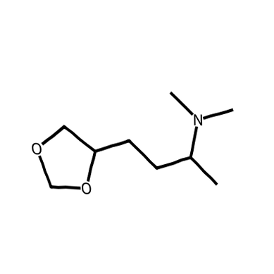 CC(CCC1COCO1)N(C)C